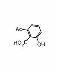 CC(=O)c1cccc(O)c1C(=O)O